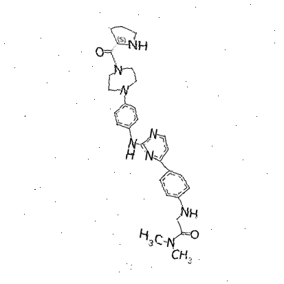 CN(C)C(=O)CNc1ccc(-c2ccnc(Nc3ccc(N4CCN(C(=O)[C@@H]5CCCN5)CC4)cc3)n2)cc1